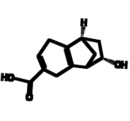 O=C(O)C1=CCC2=C(C1)C1C[C@@H]2C[C@@H]1O